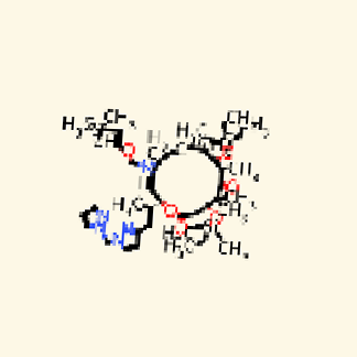 CC[Si](CC)(CC)OC1[C@@H](C)CCC[C@]2(C)[C@H](C[C@@H](/C(C)=C/c3ccn(Cn4cccn4)n3)OC(=O)C[C@H](O[Si](CC)(CC)CC)C(C)(C)C(=O)[C@@H]1C)N2COCC[Si](C)(C)C